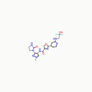 Cn1cc(NC(=O)c2coc(-c3ccnc(NCC(O)(F)F)c3)n2)c(N2CCNC2=O)n1